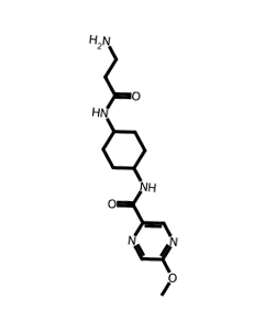 COc1cnc(C(=O)NC2CCC(NC(=O)CCN)CC2)cn1